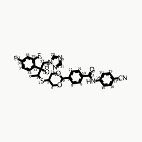 CC(SC1COC(c2ccc(C(=O)Nc3ccc(C#N)cc3)cc2)OC1)C(O)(Cn1cncn1)c1ccc(F)cc1F